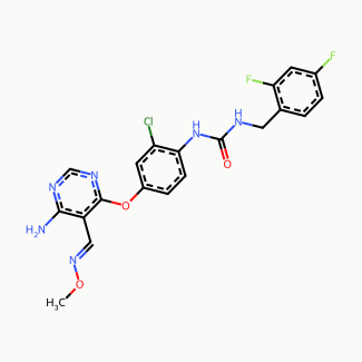 CO/N=C/c1c(N)ncnc1Oc1ccc(NC(=O)NCc2ccc(F)cc2F)c(Cl)c1